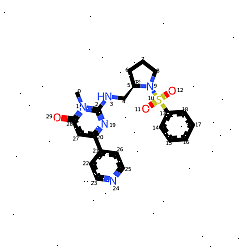 Cn1c(NC[C@H]2CCCN2S(=O)(=O)c2ccccc2)nc(-c2ccncc2)cc1=O